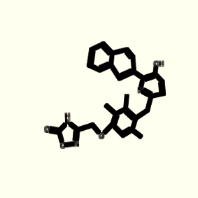 Cc1cc(OCc2noc(=O)[nH]2)c(C)c(C)c1Cc1ccc(O)c(-c2ccc3ccccc3c2)n1